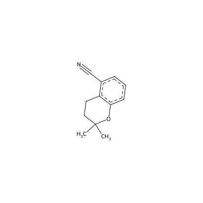 CC1(C)C[CH]c2c(C#N)cccc2O1